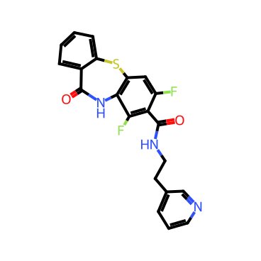 O=C1Nc2c(cc(F)c(C(=O)NCCc3cccnc3)c2F)Sc2ccccc21